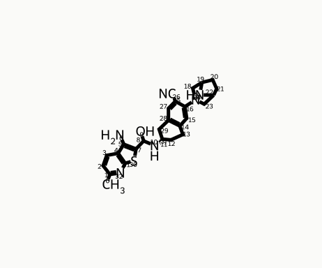 Cc1ccc2c(N)c(C(O)N[C@H]3CCc4cc(N5CC6CCC(C5)N6)c(C#N)cc4C3)sc2n1